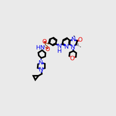 C[C@H]1C(=O)N(C)c2ccc(Nc3cccc(S(=O)(=O)N[C@H]4CC[C@H](N5CCN(CC6CC6)CC5)CC4)c3)nc2N1C1CCOCC1